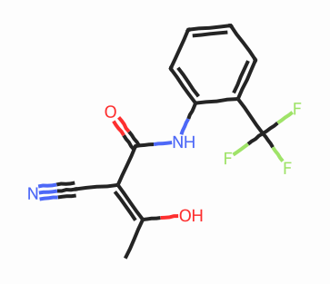 CC(O)=C(C#N)C(=O)Nc1ccccc1C(F)(F)F